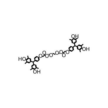 Cc1cc(C(c2ccc(OCC(=O)OCOCCOCOC(=O)COc3ccc(C(c4cc(C)c(O)c(C)c4)c4cc(C)c(O)c(C)c4)cc3)cc2)c2cc(C)c(O)c(C)c2)cc(C)c1O